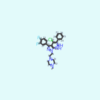 CN1CCN(CCn2nc(-c3ccc(F)c(F)c3)c3c2NNC(c2ccccc2)=C3Cl)CC1